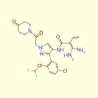 C=C/C(C(=O)Nc1cn(CC(=O)N2CCC(=O)CC2)nc1-c1cc(Cl)ccc1OC(F)F)=C(\N)NC